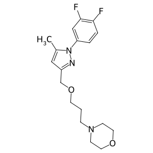 Cc1cc(COCCCN2CCOCC2)nn1-c1ccc(F)c(F)c1